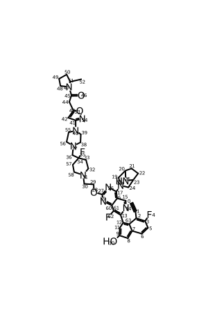 C#Cc1c(F)ccc2cc(O)cc(-c3ncc4c(N5CC6CCC(C5)N6)nc(OCCN5CCC(F)(CN6CCN(c7cc(CC(=O)N8CCCC8C)on7)CC6)CC5)nc4c3F)c12